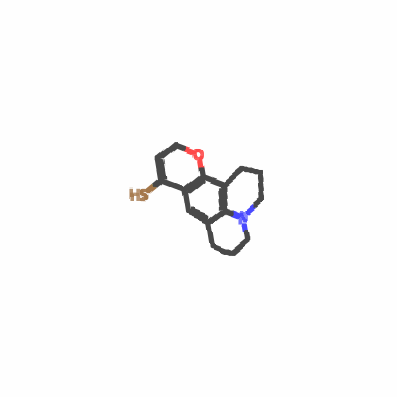 SC1=CCOc2c1cc1c3c2CCCN3CCC1